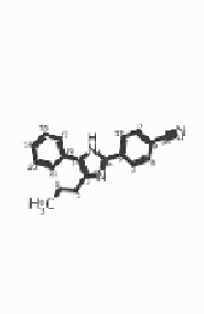 CCCc1nc(-c2ccc(C#N)cc2)[nH]c1-c1ccccc1